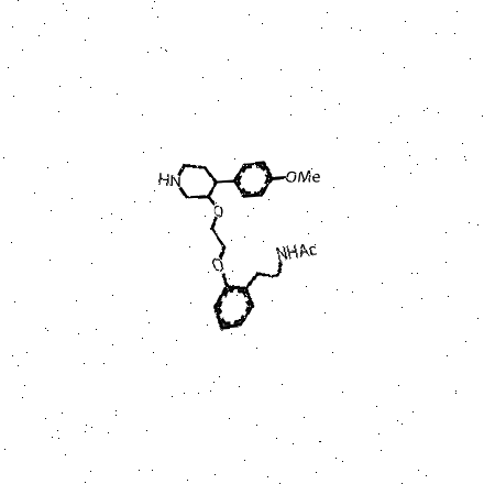 COc1ccc(C2CCNCC2OCCOc2ccccc2CCNC(C)=O)cc1